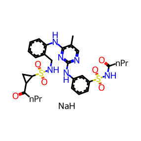 CCCC(=O)NS(=O)(=O)c1cccc(Nc2ncc(C)c(Nc3ccccc3CNS(=O)(=O)C3CC3C(=O)CCC)n2)c1.[NaH]